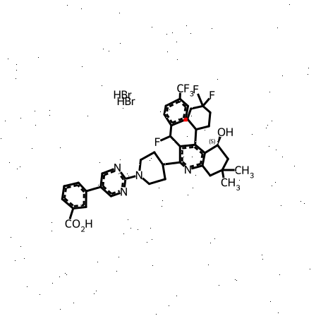 Br.Br.CC1(C)Cc2nc(C3CCN(c4ncc(-c5cccc(C(=O)O)c5)cn4)CC3)c(C(F)c3ccc(C(F)(F)F)cc3)c(C3CCC(F)(F)CC3)c2[C@@H](O)C1